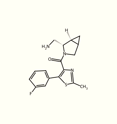 Cc1nc(C(=O)N2CC3C[C@@H]3[C@H]2CN)c(-c2cccc(F)c2)s1